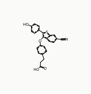 N#Cc1ccc2c(Oc3ccc(CCC(=O)O)cc3)c(-c3ccc(O)cc3)sc2c1